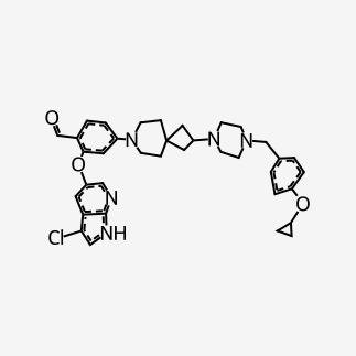 O=Cc1ccc(N2CCC3(CC2)CC(N2CCN(Cc4ccc(OC5CC5)cc4)CC2)C3)cc1Oc1cnc2[nH]cc(Cl)c2c1